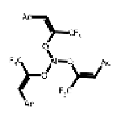 CC(=O)/C=C(\[O][Al]([O]/C(=C\C(C)=O)C(F)(F)F)[O]/C(=C\C(C)=O)C(F)(F)F)C(F)(F)F